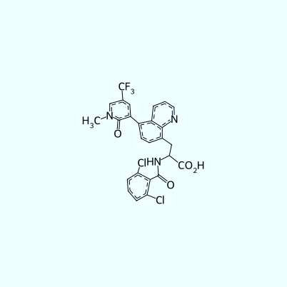 Cn1cc(C(F)(F)F)cc(-c2ccc(CC(NC(=O)c3c(Cl)cccc3Cl)C(=O)O)c3ncccc23)c1=O